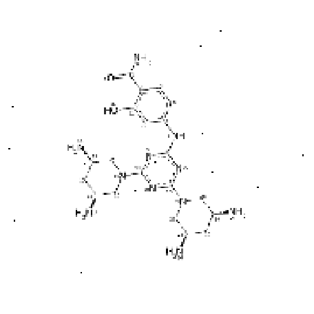 NC(=O)c1ccc(Nc2nc(N3C[C@H](N)C[C@H](N)C3)nc(N3C[C@H](N)C[C@H](N)C3)n2)cc1O